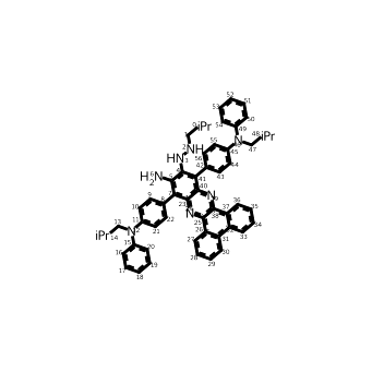 CC(C)CNNc1c(N)c(-c2ccc(N(CC(C)C)c3ccccc3)cc2)c2nc3c4ccccc4c4ccccc4c3nc2c1-c1ccc(N(CC(C)C)c2ccccc2)cc1